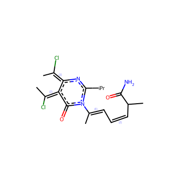 C/C(Cl)=c1/nc(C(C)C)n(/C(C)=C/C=C\C(C)C(N)=O)c(=O)/c1=C(/C)Cl